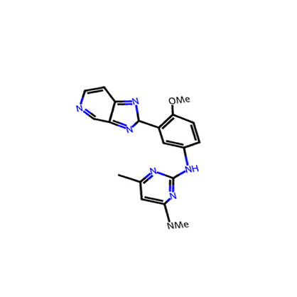 CNc1cc(C)nc(Nc2ccc(OC)c(C3N=c4ccncc4=N3)c2)n1